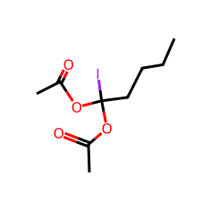 CCCCC(I)(OC(C)=O)OC(C)=O